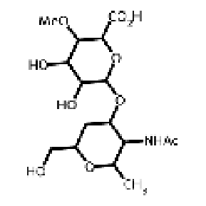 COC1C(C(=O)O)OC(OC2CC(CO)OC(C)C2NC(C)=O)C(O)C1O